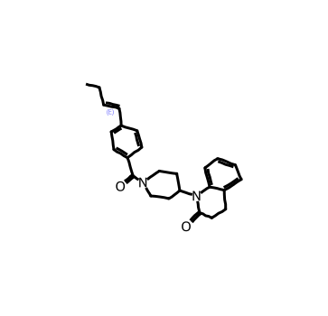 CC/C=C/c1ccc(C(=O)N2CCC(N3C(=O)CCc4ccccc43)CC2)cc1